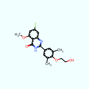 COc1cc(F)cc2nc(-c3cc(C)c(OCCO)c(C)c3)[nH]c(=O)c12